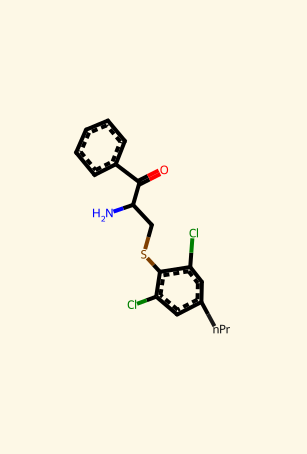 CCCc1cc(Cl)c(SCC(N)C(=O)c2ccccc2)c(Cl)c1